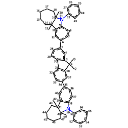 CC1(C)c2cc(-c3ccc4c(c3)C3(C)CCCCCC3(C)N4c3ccccc3)ccc2-c2ccc(-c3ccc4c(c3)C3(C)CCCCCC3(C)N4c3ccccc3)cc21